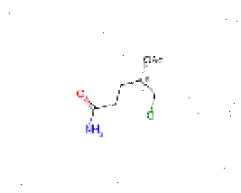 CC(=O)O[C@H](CCl)CCC(N)=O